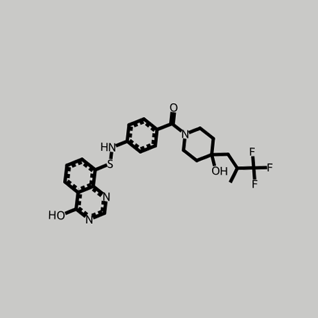 CC(CC1(O)CCN(C(=O)c2ccc(NSc3cccc4c(O)ncnc34)cc2)CC1)C(F)(F)F